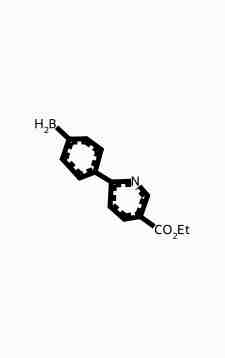 Bc1ccc(-c2ccc(C(=O)OCC)cn2)cc1